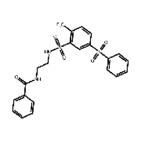 O=C(NCCNS(=O)(=O)c1cc(S(=O)(=O)c2ccccc2)ccc1C(F)(F)F)c1ccccc1